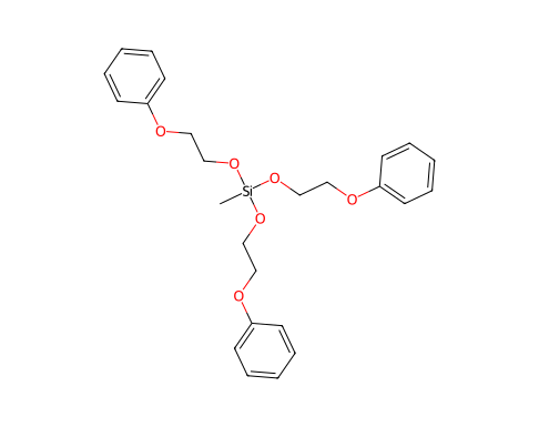 C[Si](OCCOc1ccccc1)(OCCOc1ccccc1)OCCOc1ccccc1